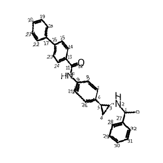 CC(N[C@@H]1C[C@H]1c1ccc(NC(=O)c2ccc(-c3ccccc3)cc2)cc1)c1ccccc1